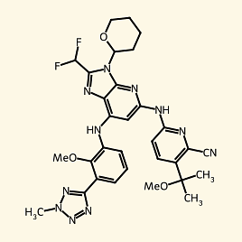 COc1c(Nc2cc(Nc3ccc(C(C)(C)OC)c(C#N)n3)nc3c2nc(C(F)F)n3C2CCCCO2)cccc1-c1nnn(C)n1